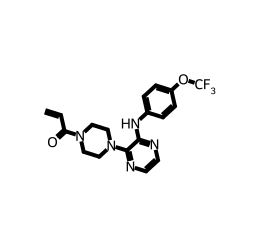 C=CC(=O)N1CCN(c2nccnc2Nc2ccc(OC(F)(F)F)cc2)CC1